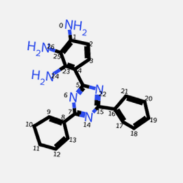 Nc1ccc(-c2nc(C3=CCCC=C3)nc(-c3ccccc3)n2)c(N)c1N